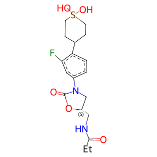 CCC(=O)NC[C@H]1CN(c2ccc(C3CCS(O)(O)CC3)c(F)c2)C(=O)O1